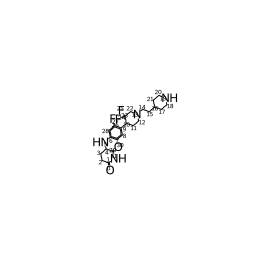 O=C1CCC(Nc2ccc(C3CCN(CCC4CCNCC4)CC3(F)F)c(F)c2)C(=O)N1